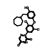 O=c1cnn(-c2cc(Cl)c(Oc3ccc(O)c(CN4CCCCCC4)c3)c(Cl)c2)c(=O)[nH]1